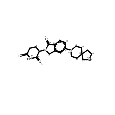 O=C1CCC(N2Cc3cc(N4CCC5(CCNC5)CC4)ccc3C2=O)C(=O)N1